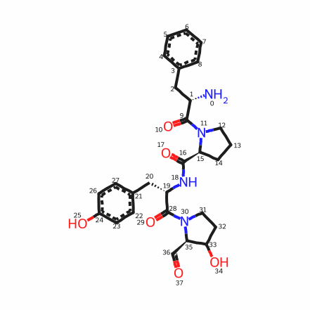 N[C@@H](Cc1ccccc1)C(=O)N1CCC[C@H]1C(=O)N[C@@H](Cc1ccc(O)cc1)C(=O)N1CCC(O)[C@H]1[C]=O